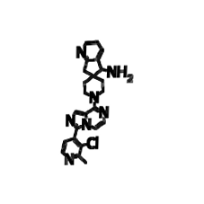 Cc1nccc(-c2ncc3c(N4CCC5(CC4)Cc4ncccc4C5N)nccn23)c1Cl